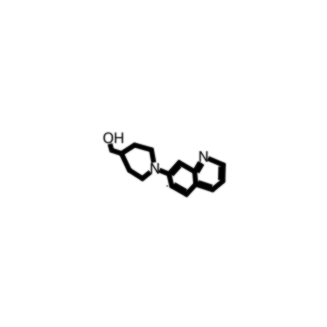 OCC1CCN(c2[c]cc3cccnc3c2)CC1